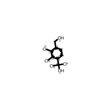 OCc1ccc(C(O)(Cl)Cl)c(Cl)c1Cl